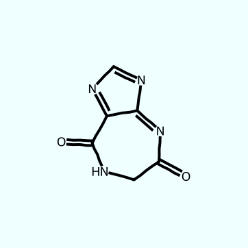 O=C1CNC(=O)C2=NC=NC2=N1